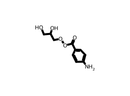 Nc1ccc(C(=O)OOCC(O)CO)cc1